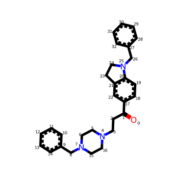 O=C(CCN1CCN(Cc2ccccc2)CC1)c1ccc2c(c1)CCN2Cc1ccccc1